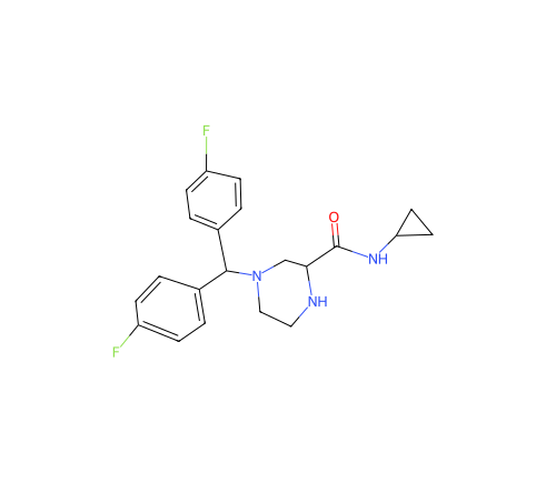 O=C(NC1CC1)C1CN(C(c2ccc(F)cc2)c2ccc(F)cc2)CCN1